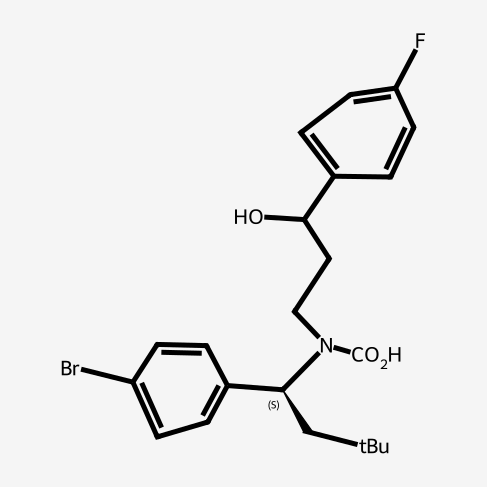 CC(C)(C)C[C@@H](c1ccc(Br)cc1)N(CCC(O)c1ccc(F)cc1)C(=O)O